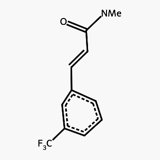 CNC(=O)/C=C/c1cccc(C(F)(F)F)c1